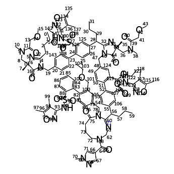 CCCCC1=N[C@@](C)(CN(C)C(=O)COC)C(=O)N1Cc1ccc(-c2ccc(C(CCC)C3=N[C@](C)(CN(C)C(=O)COC)C(=O)N3Cc3ccc(-c4ccc(C(CCC)/C5=N/CN(C(=O)c6cnn(C)c6)CCCC(=O)N5Cc5ccc(-c6ccccc6S(=O)(=O)Nc6noc(C)c6C)c(COCC)c5)cc4S(=O)(=O)Nc4noc(C)c4C)c(COCC)c3)cc2S(=O)(=O)Nc2noc(C)c2C)c(COCC)c1